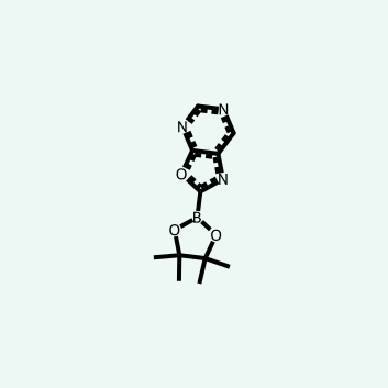 CC1(C)OB(c2nc3cncnc3o2)OC1(C)C